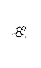 COc1ccc(OC)c2c1C=CC21CCC1